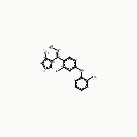 Cc1ccccc1Nc1ccc(/C(=N/O)c2cscc2C)c(Cl)c1